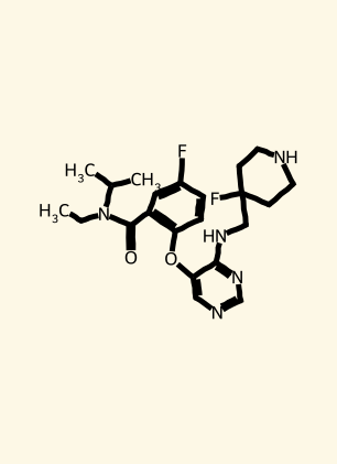 CCN(C(=O)c1cc(F)ccc1Oc1cncnc1NCC1(F)CCNCC1)C(C)C